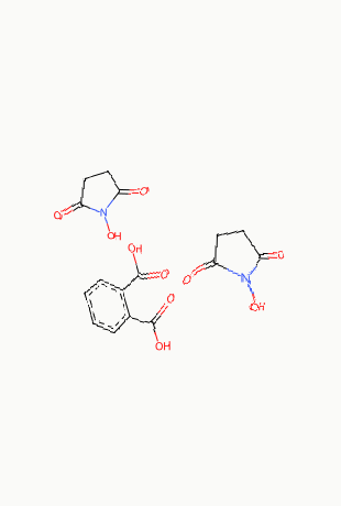 O=C(O)c1ccccc1C(=O)O.O=C1CCC(=O)N1O.O=C1CCC(=O)N1O